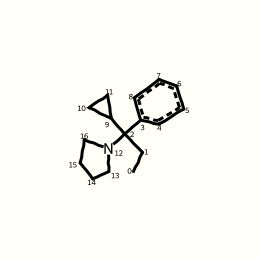 CCC(c1ccccc1)(C1CC1)N1CCCC1